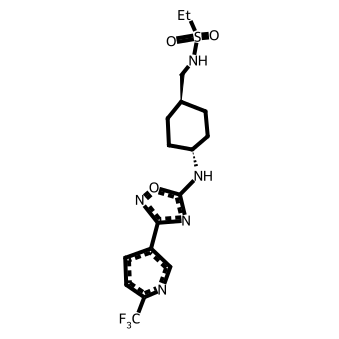 CCS(=O)(=O)NC[C@H]1CC[C@H](Nc2nc(-c3ccc(C(F)(F)F)nc3)no2)CC1